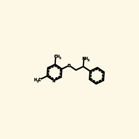 Cc1cc(C)c(OCC(N)c2ccccc2)cn1